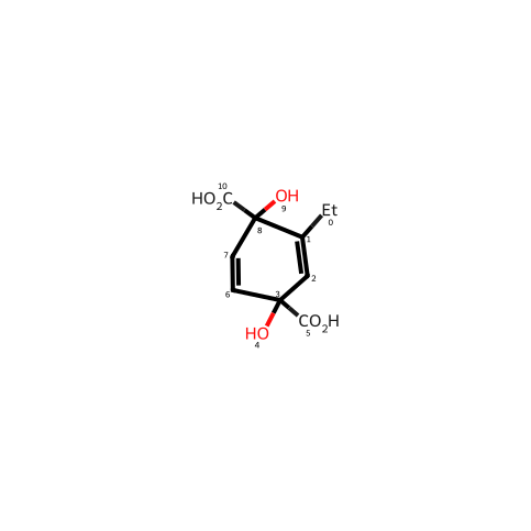 CCC1=CC(O)(C(=O)O)C=CC1(O)C(=O)O